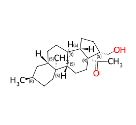 CC(=O)[C@]12CC[C@H]3[C@@H](CC[C@H]4C[C@H](C)CC[C@@]43C)[C@@H]1CC[C@@H]2CO